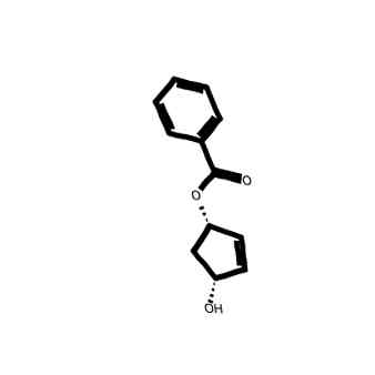 O=C(O[C@@H]1C=C[C@H](O)C1)c1ccccc1